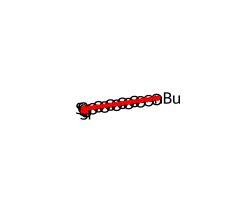 CCCCOCCCOCCCOCCOCCOCCOCCOCCOCCOCCOCCOCCC[Si](C)(O[Si](C)(C)C)O[Si](C)(C)C